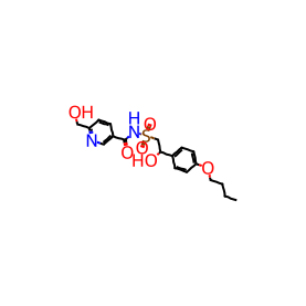 CCCCOc1ccc(C(O)CS(=O)(=O)NC(=O)c2ccc(CO)nc2)cc1